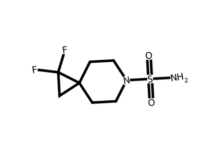 NS(=O)(=O)N1CCC2(CC1)CC2(F)F